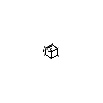 CC1(C)C2C=CCC1C2